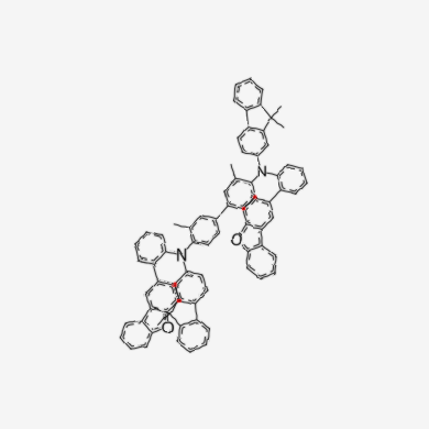 Cc1cc(-c2ccc(N(c3ccc4c(c3)C(C)(C)c3ccccc3-4)c3ccccc3-c3ccc4oc5ccccc5c4c3)c(C)c2)ccc1N(c1ccc2c(c1)C(C)(C)c1ccccc1-2)c1ccccc1-c1ccc2oc3ccccc3c2c1